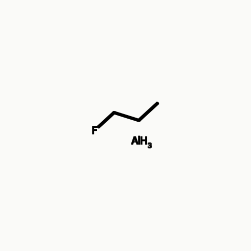 CCCF.[AlH3]